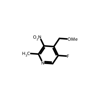 COCc1c(F)cnc(C)c1[N+](=O)[O-]